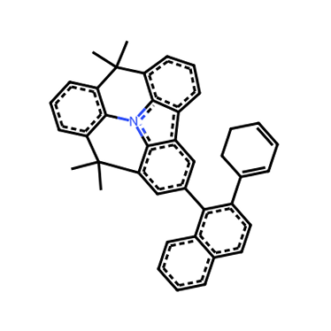 CC1(C)c2cccc3c2-n2c4c1cccc4c1cc(-c4c(C5=CC=CCC5)ccc5ccccc45)cc(c12)C3(C)C